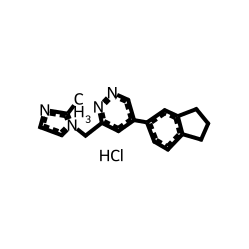 Cc1nccn1Cc1cc(-c2ccc3c(c2)CCC3)cnn1.Cl